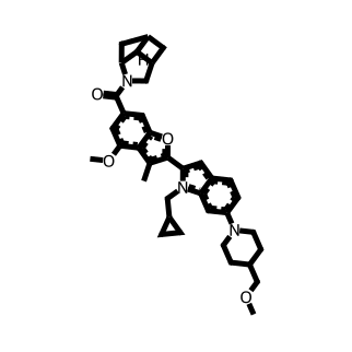 COCC1CCN(c2ccc3cc(-c4oc5cc(C(=O)N6CC7CC8CC6[C@H]87)cc(OC)c5c4C)n(CC4CC4)c3c2)CC1